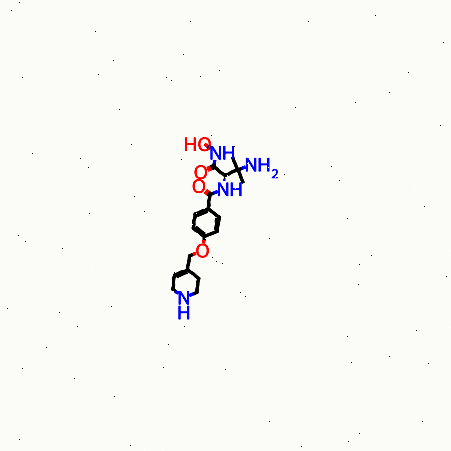 CC(C)(N)[C@H](NC(=O)c1ccc(OCC2=CCNCC2)cc1)C(=O)NO